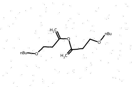 C=C(CCOCCCC)OC(=C)CCOCCCC